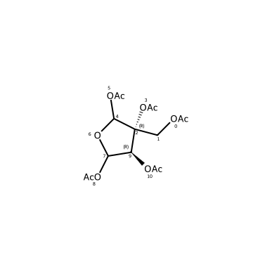 CC(=O)OC[C@]1(OC(C)=O)C(OC(C)=O)OC(OC(C)=O)[C@@H]1OC(C)=O